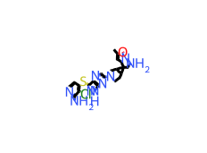 Cc1cc(C2(CN)C3CCN(c4cnc5c(Sc6ccnc(N)c6Cl)n[nH]c5n4)CC32)no1